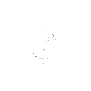 C1=CCC(N(C2=CCC(c3ccc(N(C4=c5ccccc5=CCC4)c4ccccc4)cc3)C=C2)c2cccc3ccccc23)C=C1